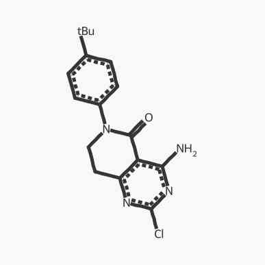 CC(C)(C)c1ccc(N2CCc3nc(Cl)nc(N)c3C2=O)cc1